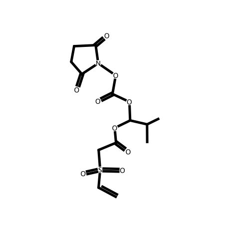 C=CS(=O)(=O)CC(=O)OC(OC(=O)ON1C(=O)CCC1=O)C(C)C